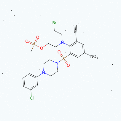 C#Cc1cc([N+](=O)[O-])cc(S(=O)(=O)N2CCN(c3cccc(Cl)c3)CC2)c1N(CCBr)CCOS(C)(=O)=O